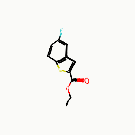 CCOC(=O)c1cc2cc(F)ccc2s1